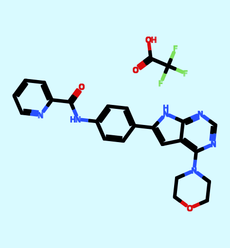 O=C(Nc1ccc(-c2cc3c(N4CCOCC4)ncnc3[nH]2)cc1)c1ccccn1.O=C(O)C(F)(F)F